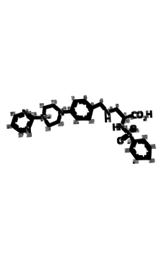 O=C(O)[C@H](CNCc1ccc(N2CCN(c3ncccn3)CC2)cc1)NS(=O)(=O)c1ccccc1